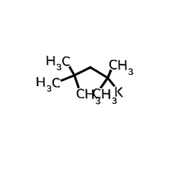 CC(C)(C)C[C](C)(C)[K]